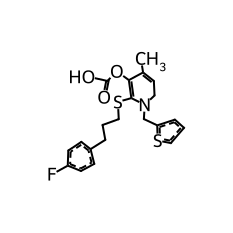 CC1=CCN(Cc2cccs2)C(SCCCc2ccc(F)cc2)=C1OC(=O)O